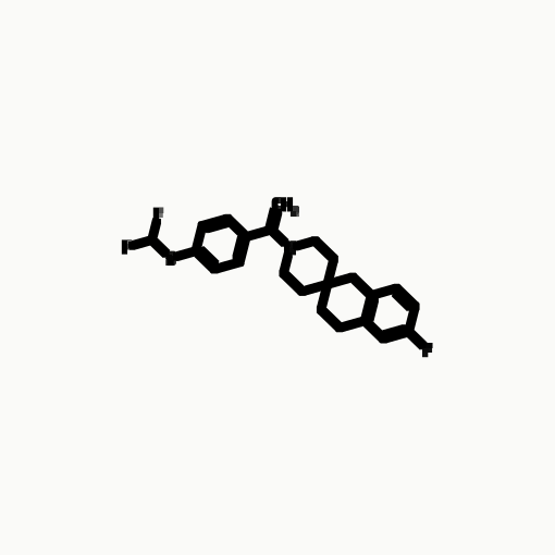 C=C(c1ccc(SC(F)F)cc1)N1CCC2(CCc3cc(F)ccc3C2)CC1